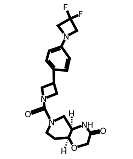 O=C1CO[C@H]2CCN(C(=O)N3CC(c4ccc(N5CC(F)(F)C5)cc4)C3)C[C@H]2N1